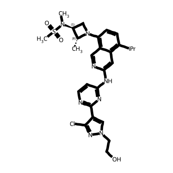 CC(C)c1ccc(N2C[C@H](N(C)S(C)(=O)=O)[C@H]2C)c2cnc(Nc3ccnc(-c4cn(CCO)nc4Cl)n3)cc12